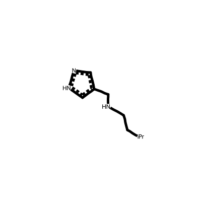 CC(C)CCNCc1cn[nH]c1